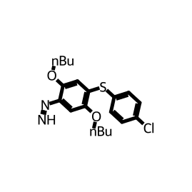 CCCCOc1cc(Sc2ccc(Cl)cc2)c(OCCCC)cc1N=N